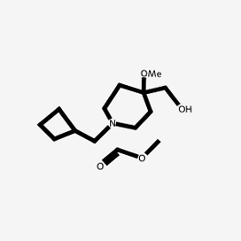 COC1(CO)CCN(CC2CCC2)CC1.COC=O